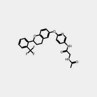 CC(=O)NCC(=O)Nc1ccc(Oc2ccc3c(c2)CCC(c2ccccc2C(F)(F)F)O3)nc1